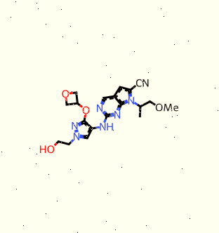 COCC(C)n1c(C#N)cc2cnc(Nc3cn(CCO)nc3OC3COC3)nc21